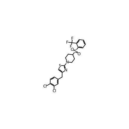 O=S(=O)(c1ccccc1C(F)(F)F)C1CCN(c2nc(Cc3ccc(Cl)c(Cl)c3)cs2)CC1